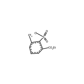 CCOC(=O)c1cccc(C(F)(F)F)c1S(=O)(=O)Cl